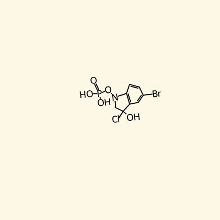 O=P(O)(O)ON1CC(O)(Cl)c2cc(Br)ccc21